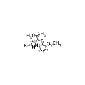 CCOc1cccc(-n2nc(Br)cc2C=C(C)C)c1F